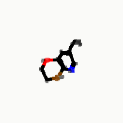 Cc1cnc2c(c1)OCCS2